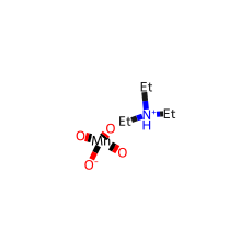 CC[NH+](CC)CC.[O]=[Mn](=[O])(=[O])[O-]